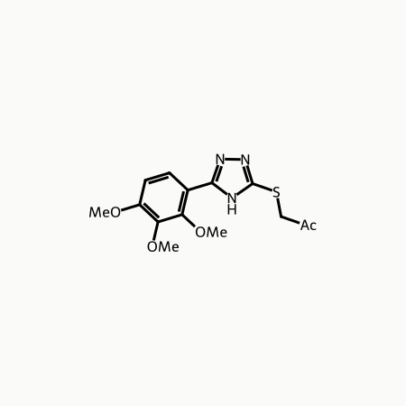 COc1ccc(-c2nnc(SCC(C)=O)[nH]2)c(OC)c1OC